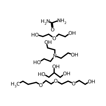 CCCCOCCOCCOCCO.NC(N)=O.OCC(O)CO.OCCN(CCO)CCO.OCCOCCO